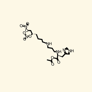 CC(=O)OC(=O)[C@H](Cc1c[nH]cn1)NCCCNCCCC[C@@H](CO[N+](=O)[O-])O[N+](=O)[O-]